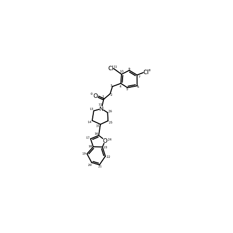 O=C(CCc1ccc(Cl)cc1Cl)N1CCC(c2cc3ccccc3o2)CC1